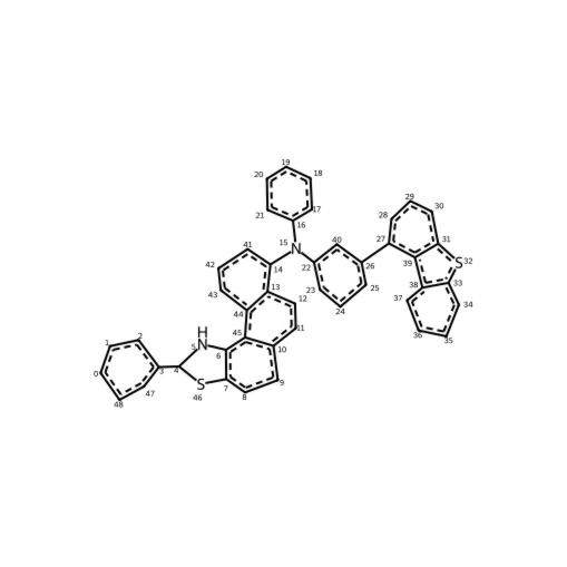 c1ccc(C2Nc3c(ccc4ccc5c(N(c6ccccc6)c6cccc(-c7cccc8sc9ccccc9c78)c6)cccc5c34)S2)cc1